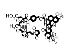 C=C1OCc2c(cc3n(c2=O)Cc2c-3nc3cc(F)c(C)c4c3c2[C@@H](NC(=O)OCc2ccc(NC(=O)[C@H](CCC(=O)O)NC(=O)[C@H](C)NC(=O)[C@@H](CC(C)C)NC(=O)CCN3C(=O)C=CC3=O)cc2)CC4)[C@@]1(O)CC